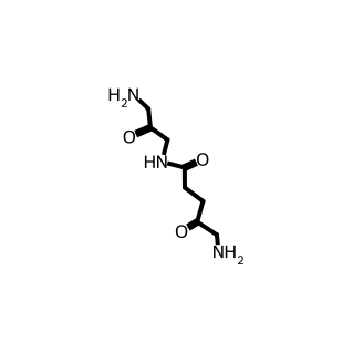 NCC(=O)CCC(=O)NCC(=O)CN